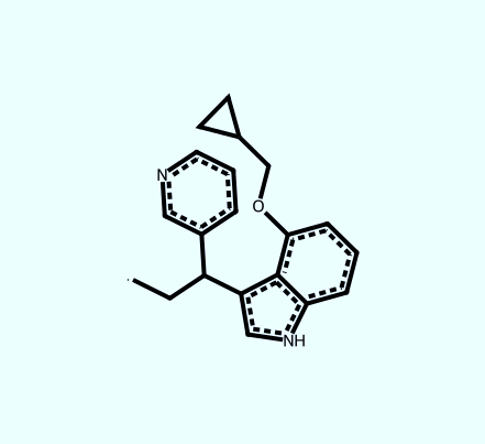 [CH2]CC(c1cccnc1)c1c[nH]c2cccc(OCC3CC3)c12